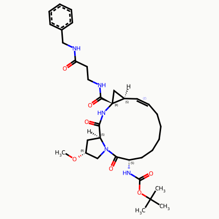 CO[C@@H]1C[C@H]2C(=O)N[C@]3(C(=O)NCCC(=O)NCc4ccccc4)C[C@H]3/C=C\CCCCC[C@H](NC(=O)OC(C)(C)C)C(=O)N2C1